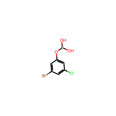 OB(O)Oc1cc(Cl)cc(Br)c1